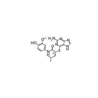 COc1cc(NC(=O)[C@H](CC(C)C)Sc2nc(N)nc3nc[nH]c23)ccc1O